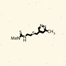 CNC(=S)NCCSCc1cnnc(C)c1